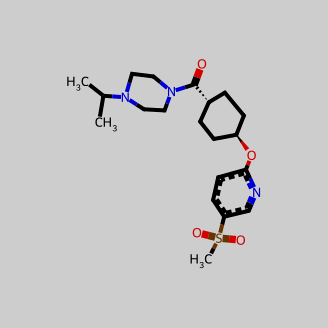 CC(C)N1CCN(C(=O)[C@H]2CC[C@H](Oc3ccc(S(C)(=O)=O)cn3)CC2)CC1